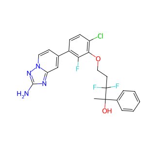 CC(O)(c1ccccc1)C(F)(F)CCOc1c(Cl)ccc(-c2ccn3nc(N)nc3c2)c1F